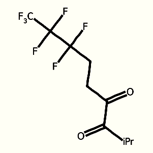 CC(C)C(=O)C(=O)CCC(F)(F)C(F)(F)C(F)(F)F